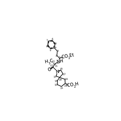 CCOC(=O)C(CCc1ccccc1)N[C@@H](C)C(=O)N1CCC2(CCCC(C(=O)O)C2)C1